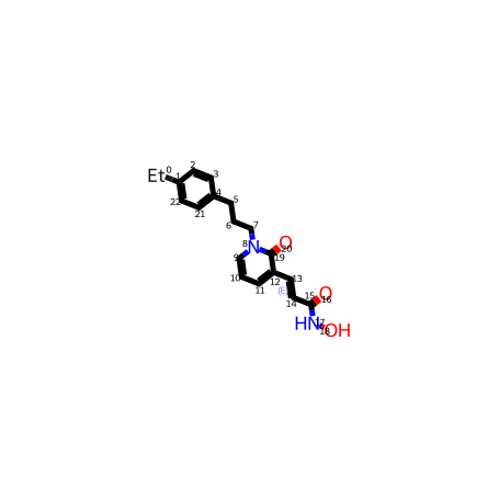 CCc1ccc(CCCn2cccc(/C=C/C(=O)NO)c2=O)cc1